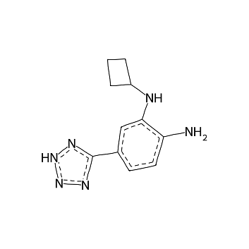 Nc1ccc(-c2nn[nH]n2)cc1NC1CCC1